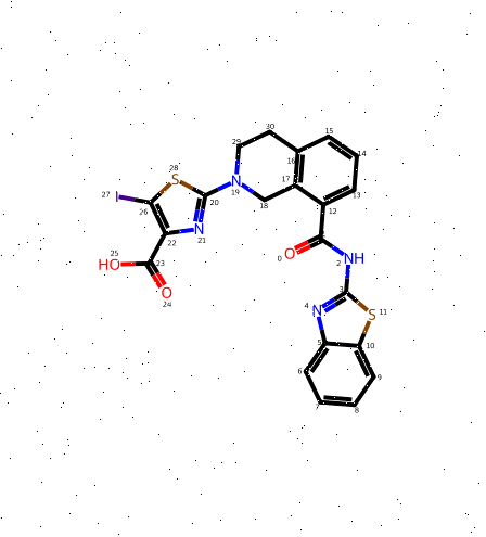 O=C(Nc1nc2ccccc2s1)c1cccc2c1CN(c1nc(C(=O)O)c(I)s1)CC2